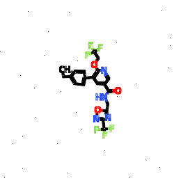 CCc1ccc(-c2cc(C(=O)NCc3nc(C(F)(F)F)no3)cnc2OCC(F)(F)F)cc1